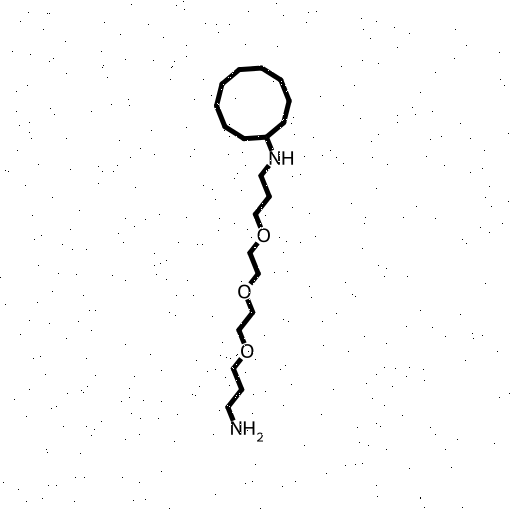 NCCCOCCOCCOCCCNC1CCCCCCCCC1